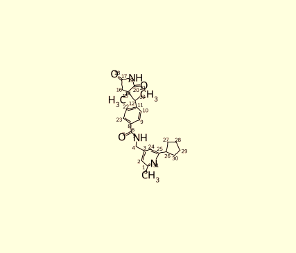 Cc1cc(CNC(=O)c2ccc(C(C)[C@]3(C)CC(=O)NC3=O)cc2)cc(C2CCCC2)n1